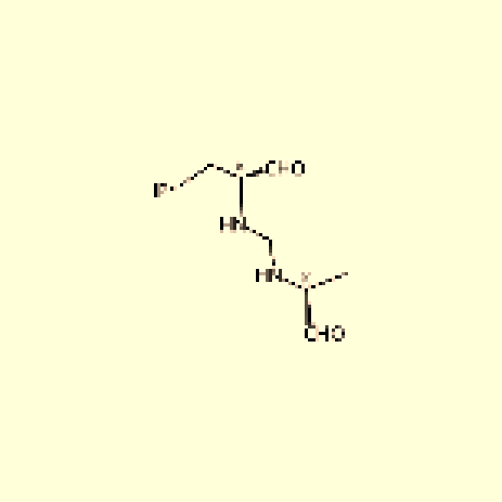 CC(C)C[C@@H](C=O)NCN[C@@H](C)C=O